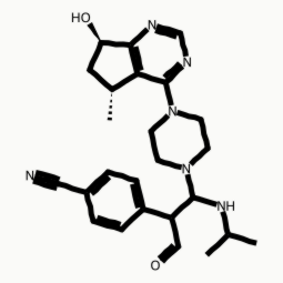 CC(C)NC(C(C=O)c1ccc(C#N)cc1)N1CCN(c2ncnc3c2[C@H](C)C[C@H]3O)CC1